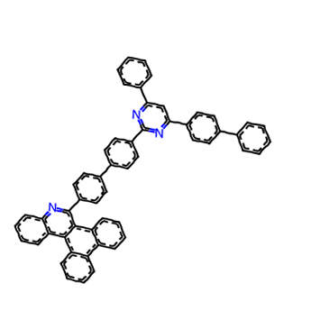 c1ccc(-c2ccc(-c3cc(-c4ccccc4)nc(-c4ccc(-c5ccc(-c6nc7ccccc7c7c8ccccc8c8ccccc8c67)cc5)cc4)n3)cc2)cc1